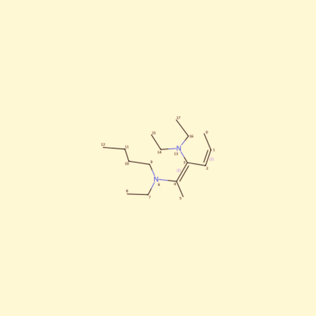 C/C=C\C(=C(/C)N(CC)CCCC)N(CC)CC